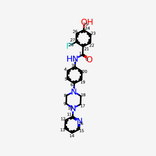 O=C(Nc1ccc(N2CCN(c3ccccn3)CC2)cc1)c1ccc(O)cc1F